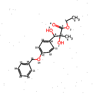 CCOC(=O)C(C)(O)C(O)c1ccc(OCc2ccccc2)cc1